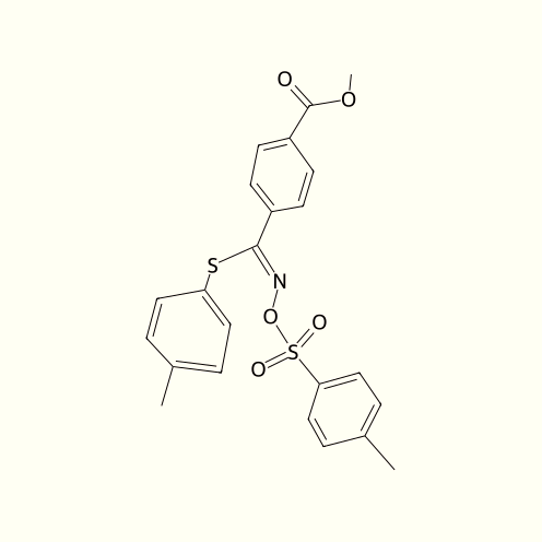 COC(=O)c1ccc(/C(=N/OS(=O)(=O)c2ccc(C)cc2)Sc2ccc(C)cc2)cc1